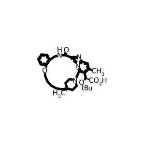 Cc1cc2nc3cn2c(c1[C@H](OC(C)(C)C)C(=O)O)N1CCC(C)(CCCCCOc2ccccc2CNC3=O)CC1